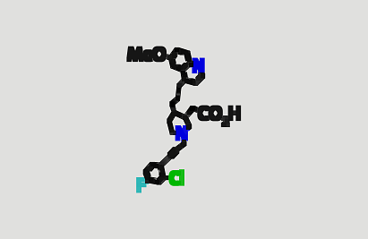 COc1ccc2nccc(CCC[C@@H]3CCN(CC#Cc4ccc(F)cc4Cl)C[C@@H]3CC(=O)O)c2c1